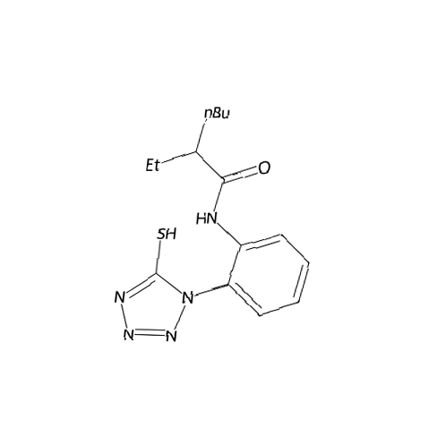 CCCCC(CC)C(=O)Nc1ccccc1-n1nnnc1S